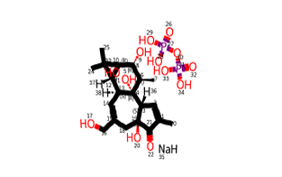 CC1=C[C@H]2[C@]3(O)[C@H](C)[C@@H](O)[C@@]4(O)[C@H]([C@@H]3C=C(CO)C[C@@]2(O)C1=O)C4(C)C.O=P(O)(O)OP(=O)(O)O.[NaH]